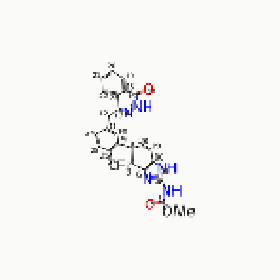 COC(=O)Nc1nc2cc(-c3cc(Cc4n[nH]c(=O)c5ccccc45)ccc3C(F)(F)F)ccc2[nH]1